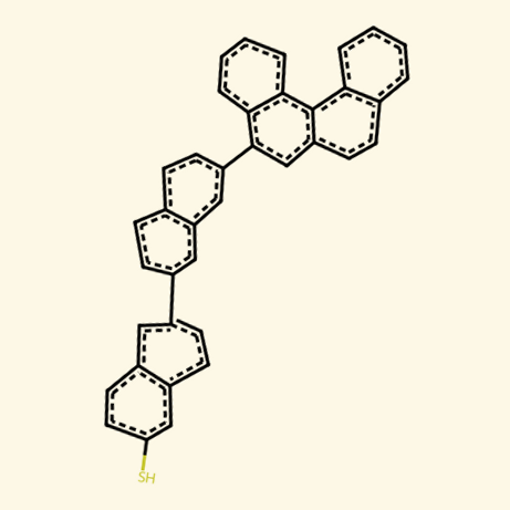 Sc1ccc2cc(-c3ccc4ccc(-c5cc6ccc7ccccc7c6c6ccccc56)cc4c3)ccc2c1